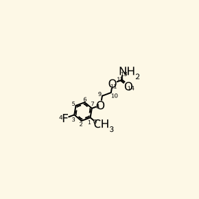 Cc1cc(F)ccc1OCCOC(N)=O